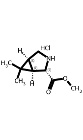 COC(=O)[C@H]1NC[C@H]2[C@@H]1C2(C)C.Cl